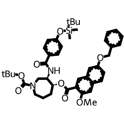 COc1cc2ccc(OCc3ccccc3)cc2cc1C(=O)O[C@@H]1CCCN(C(=O)OC(C)(C)C)C[C@H]1NC(=O)c1ccc(O[Si](C)(C)C(C)(C)C)cc1